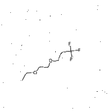 [CH2]COCCOCCC(F)(F)F